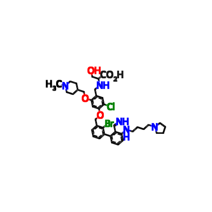 CN1CCC(COc2cc(OCc3cccc(-c4cccc(NCCCCN5CCCC5)c4C=N)c3Br)c(Cl)cc2CNC(CO)C(=O)O)CC1